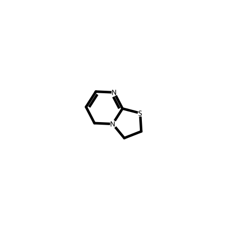 C1=CN=C2SCCN2C1